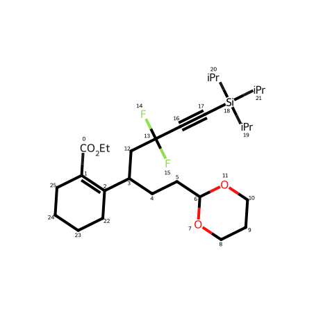 CCOC(=O)C1=C(C(CCC2OCCCO2)CC(F)(F)C#C[Si](C(C)C)(C(C)C)C(C)C)CCCC1